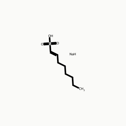 CCCCCCC=CS(=O)(=O)O.[NaH]